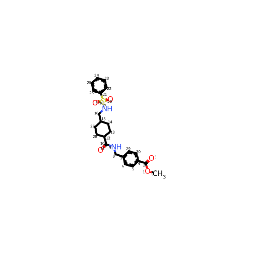 COC(=O)c1ccc(CNC(=O)C2CCC(CNS(=O)(=O)c3ccccc3)CC2)cc1